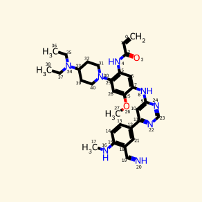 C=CC(=O)Nc1cc(Nc2cc(-c3ccc(NC)c(C=N)c3)ncn2)c(OC)cc1N1CCC(N(CC)CC)CC1